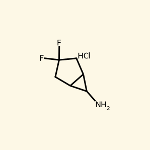 Cl.NC1C2CC(F)(F)CC12